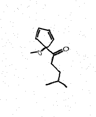 COC1(C(=O)CCC(C)C)C=CC=C1